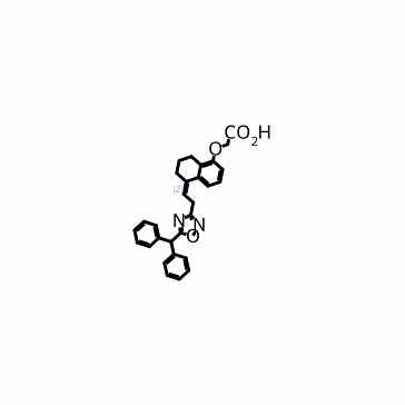 O=C(O)COc1cccc2c1CCC/C2=C/Cc1noc(C(c2ccccc2)c2ccccc2)n1